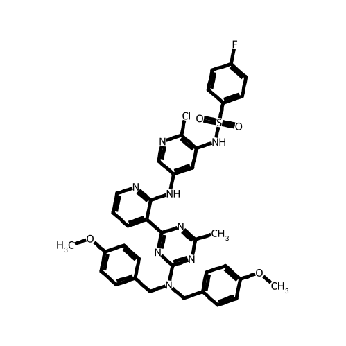 COc1ccc(CN(Cc2ccc(OC)cc2)c2nc(C)nc(-c3cccnc3Nc3cnc(Cl)c(NS(=O)(=O)c4ccc(F)cc4)c3)n2)cc1